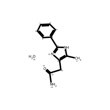 Cc1[nH]c(-c2ccccc2)nc1CC(N)=O.O